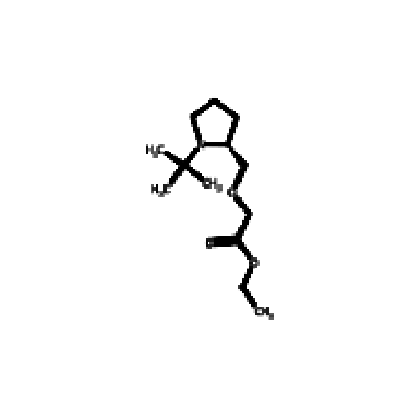 CCOC(=O)COC[C@@H]1CCCN1C(C)(C)C